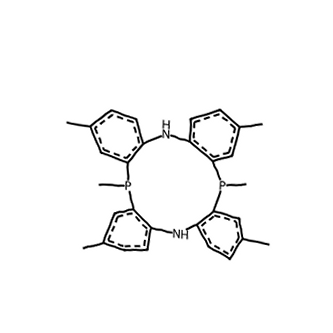 Cc1ccc2c(c1)P(C)c1cc(C)ccc1Nc1ccc(C)cc1P(C)c1cc(C)ccc1N2